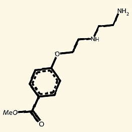 COC(=O)c1ccc(OCCNCCN)cc1